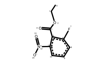 CCOC(=O)c1c(F)cccc1[N+](=O)[O-]